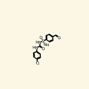 N=S(=O)(NC(=O)Nc1ccc(Cl)cc1)c1ccc(C=O)cc1